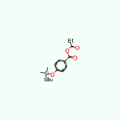 CCC(=O)OC(=O)c1ccc(O[Si](C)(C)C(C)(C)C)cc1